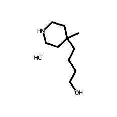 CC1(CCCCO)CCNCC1.Cl